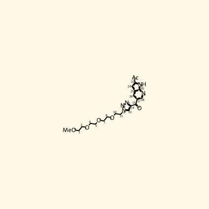 COCCOCCOCCOCCn1cc(C(=O)c2cnc3[nH]c(C(C)=O)cc3c2)nn1